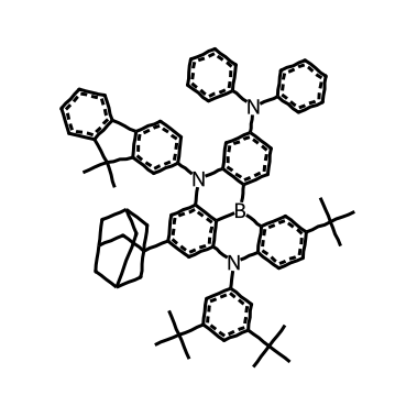 CC(C)(C)c1cc(N2c3ccc(C(C)(C)C)cc3B3c4ccc(N(c5ccccc5)c5ccccc5)cc4N(c4ccc5c(c4)C(C)(C)c4ccccc4-5)c4cc(C56CC7CC(CC(C7)C5)C6)cc2c43)cc(C(C)(C)C)c1